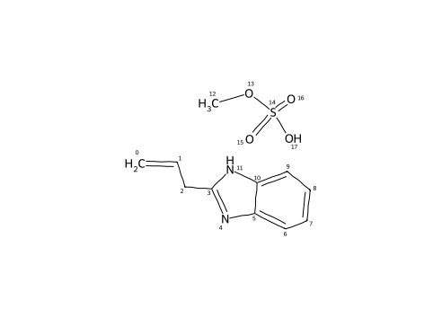 C=CCc1nc2ccccc2[nH]1.COS(=O)(=O)O